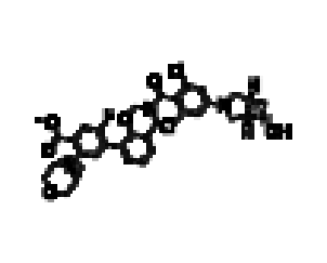 COC(=O)c1cc(F)c(-c2cccc3c2OCN(C(=O)c2c(Cl)cc(N4C[C@@H]5C[C@H](O)[C@@H]5C4)cc2Cl)C3)cc1N1C2CCC1COC2